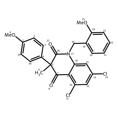 COc1ccc(C2(C)C(=O)c3c(Cl)cc(Cl)cc3N(Cc3ccccc3OC)C2=O)cc1